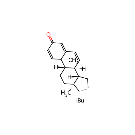 CC[C@H](C)[C@H]1CC[C@H]2[C@@H]3C=CC4=CC(=O)C=C[C@]4(C)[C@H]3CC[C@]12C